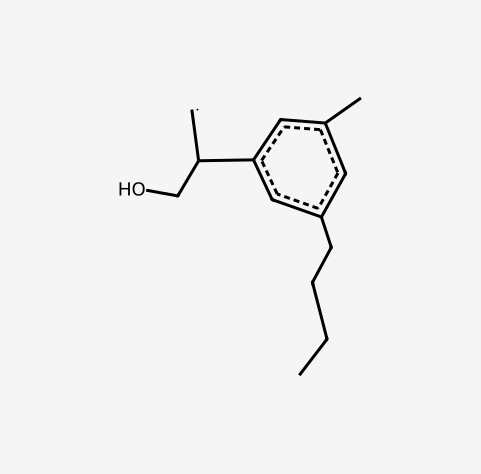 [CH2]C(CO)c1cc(C)cc(CCCC)c1